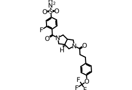 NS(=O)(=O)c1ccc(C(=O)N2CC3CN(C(=O)CCc4ccc(OC(F)(F)F)cc4)C[C@@H]3C2)c(F)c1